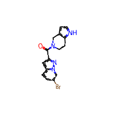 O=C(c1cc2ccc(Br)cn2n1)N1CCc2[nH]ccc2C1